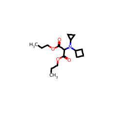 CCCOC(=O)C(C(=O)OCCC)N(C1CCC1)C1CC1